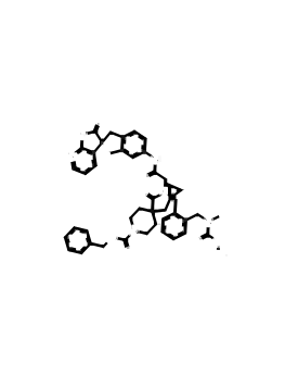 CN(Cc1ccccc1CN(CC(=O)Nc1ccc2c(c1)C[C@@]1(C2)C(=O)Nc2ncccc21)C(=O)C1(CC2CC2)CCN(C(=O)OCc2ccccc2)CC1)C(=O)OC(C)(C)C